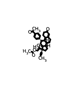 CC#C[C@]1(C(=O)COC(C)=O)CC[C@H]2[C@@H]3CCC4=CC(=O)CCC4=C3[C@@H](c3ccc(C(C)=O)cc3)C[C@@]21C